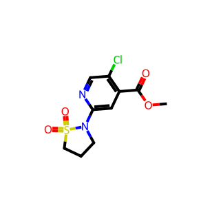 COC(=O)c1cc(N2CCCS2(=O)=O)ncc1Cl